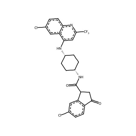 O=C1CC(C(=O)N[C@H]2CC[C@@H](Nc3cc(C(F)(F)F)nc4ccc(Cl)cc34)CC2)c2cc(Cl)ccc21